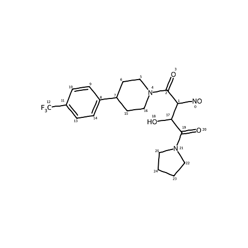 O=NC(C(=O)N1CCC(c2ccc(C(F)(F)F)cc2)CC1)C(O)C(=O)N1CCCC1